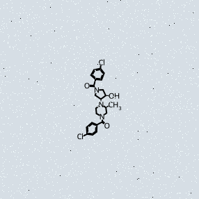 C[C@H]1CN(C(=O)c2ccc(Cl)cc2)CCN1[C@@H]1CN(C(=O)c2ccc(Cl)cc2)C[C@H]1O